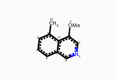 COc1cncc2cccc(C)c12